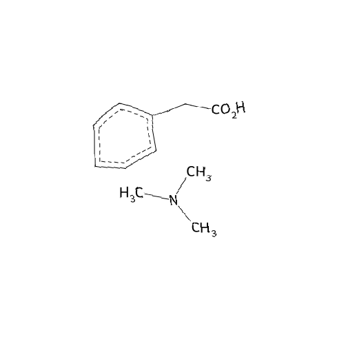 CN(C)C.O=C(O)Cc1ccccc1